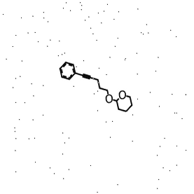 C(#Cc1ccccc1)CCCOC1CCCCO1